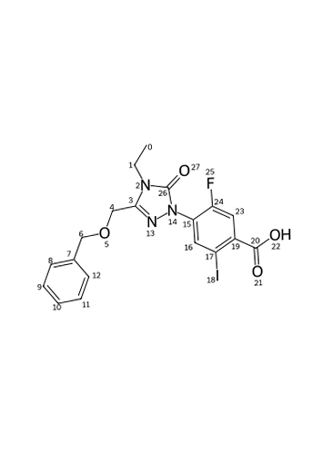 CCn1c(COCc2ccccc2)nn(-c2cc(I)c(C(=O)O)cc2F)c1=O